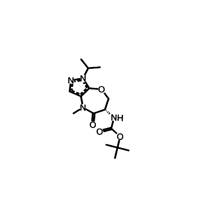 CC(C)n1ncc2c1OC[C@H](NC(=O)OC(C)(C)C)C(=O)N2C